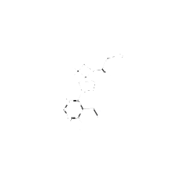 CCC1(F)CN(C(=O)CC#N)[C@@]12CCN(c1ncnc(C)c1/C=C\F)C2